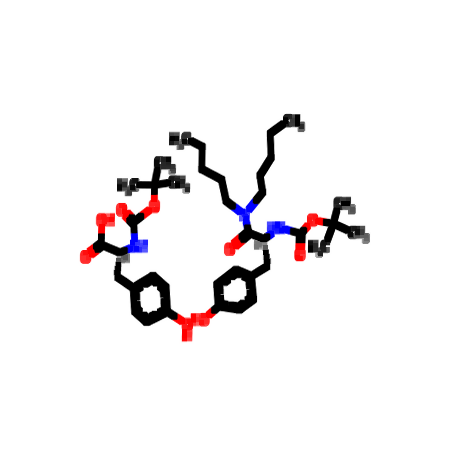 CC(C)(C)OC(=O)N[C@H](Cc1ccc(O)cc1)C(=O)O.CCCCCN(CCCCC)C(=O)[C@@H](Cc1ccc(O)cc1)NC(=O)OC(C)(C)C